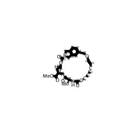 COC(=O)C1C[C@@H]2CN1C(=O)[C@H](C(C)(C)C)NC(=O)OCCCC/C=C/OCc1ccc3c(c1)CN(C3)C(=O)O2